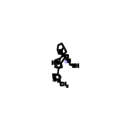 Cn1cc(-c2c[nH]c(/C(=N\C=N)N3CC4CCC(C3)N4C(=O)C3CC3)c2)nn1